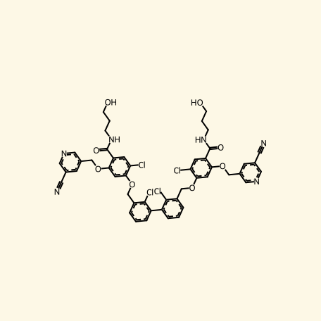 N#Cc1cncc(COc2cc(OCc3cccc(-c4cccc(COc5cc(OCc6cncc(C#N)c6)c(C(=O)NCCCO)cc5Cl)c4Cl)c3Cl)c(Cl)cc2C(=O)NCCCO)c1